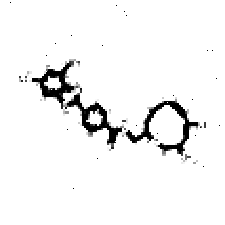 C=C1/C=C(Cl)\C=C/CCCC(CNC(=O)c2ccc(-c3nc4cc(C#N)cc(C(C)C)c4o3)cc2)CC1